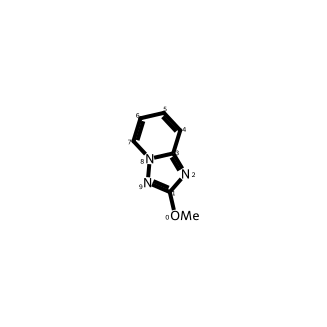 COc1nc2ccccn2n1